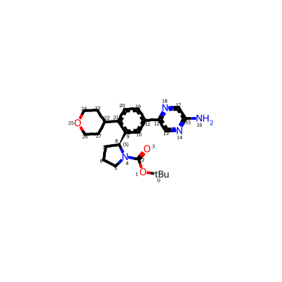 CC(C)(C)OC(=O)N1CCC[C@H]1c1cc(-c2cnc(N)cn2)ccc1C1CCOCC1